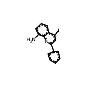 Nc1cccc2c(I)cc(-c3ccccc3)nc12